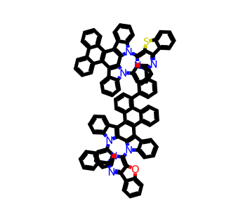 c1ccc(-c2nc(-n3c4ccccc4c4c5c6ccccc6c6c(-c7cccc(-c8nc(-n9c%10ccccc%10c%10c%11c%12ccccc%12c%12ccccc%12c%11c%11c%12ccccc%12n(-c%12ccccc%12)c%11c%109)c9sc%10ccccc%10c9n8)c7)cccc6c5c5c6ccccc6n(-c6ccccc6)c5c43)c3oc4ccccc4c3n2)cc1